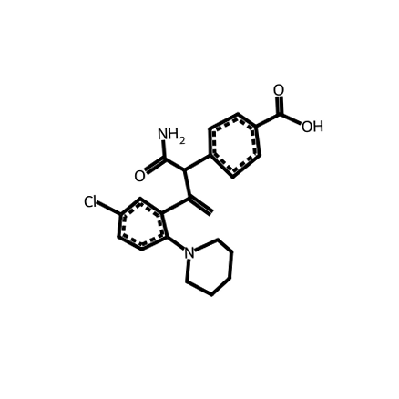 C=C(c1cc(Cl)ccc1N1CCCCC1)C(C(N)=O)c1ccc(C(=O)O)cc1